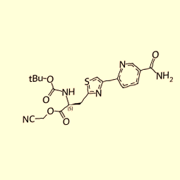 CC(C)(C)OC(=O)N[C@@H](Cc1nc(-c2ccc(C(N)=O)cn2)cs1)C(=O)OCC#N